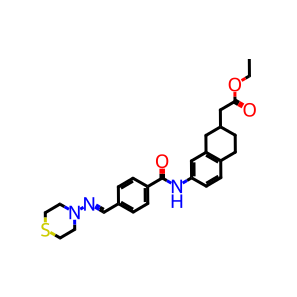 CCOC(=O)CC1CCc2ccc(NC(=O)c3ccc(/C=N/N4CCSCC4)cc3)cc2C1